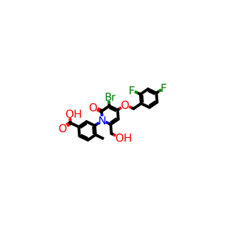 Cc1ccc(C(=O)O)cc1-n1c(CO)cc(OCc2ccc(F)cc2F)c(Br)c1=O